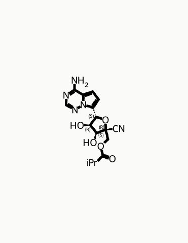 CC(C)C(=O)OC[C@@]1(C#N)O[C@@H](c2ccc3c(N)ncnn23)[C@H](O)[C@@H]1O